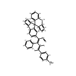 C=N/C(=C(\C(C)=C(/C)c1ccc(C(C)(C)C)cc1)c1ccccc1)c1ccc2c(c1)C1(c3ccccc3Sc3ccccc31)c1ccccc1-2